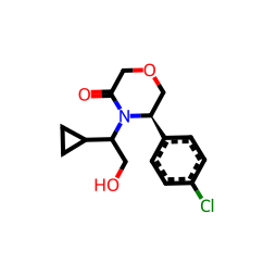 O=C1COC[C@@H](c2ccc(Cl)cc2)N1C(CO)C1CC1